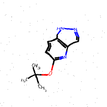 CC(C)(C)Oc1ccc2[nH]ncc2n1